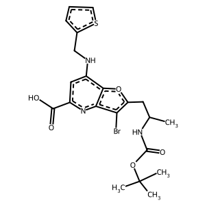 CC(Cc1oc2c(NCc3cccs3)cc(C(=O)O)nc2c1Br)NC(=O)OC(C)(C)C